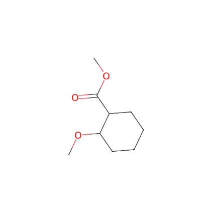 COC(=O)C1CCCCC1OC